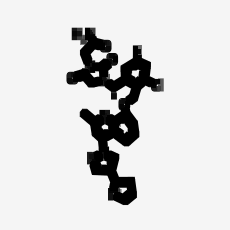 Cc1cc(-n2cc(C3=CC=C[F+]3)cn2)c2cccc(OCc3c(Cl)cc(F)cc3[C@H](C)N3CC(=O)N(CC(N)=O)C3=O)c2n1